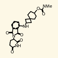 CNC(=O)OC1CCC2(CC1)CC(Nc1cccc3c1C(=O)N(C1CCC(=O)NC1=O)C3=O)C2